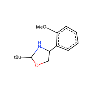 COc1ccccc1C1COC(C(C)(C)C)N1